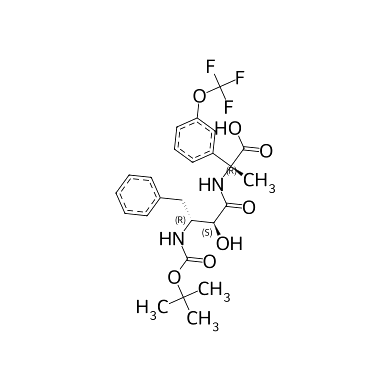 CC(C)(C)OC(=O)N[C@H](Cc1ccccc1)[C@H](O)C(=O)N[C@@](C)(C(=O)O)c1cccc(OC(F)(F)F)c1